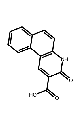 O=C(O)c1cc2c(ccc3ccccc32)[nH]c1=O